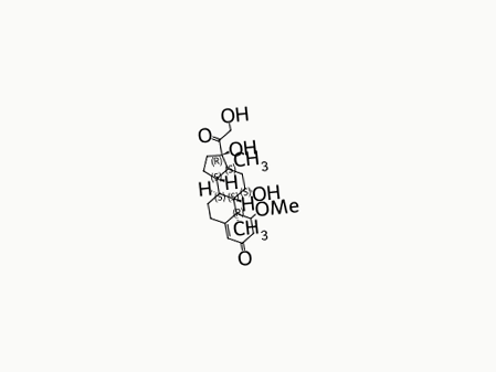 COC1CC(=O)C=C2CC[C@@H]3[C@H]([C@@H](O)C[C@@]4(C)[C@H]3CC[C@]4(O)C(=O)CO)[C@]21C